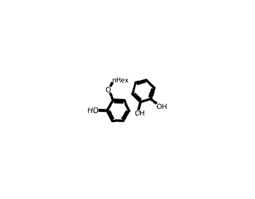 CCCCCCOc1ccccc1O.Oc1ccccc1O